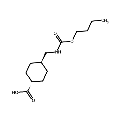 CCCCOC(=O)NC[C@H]1CC[C@H](C(=O)O)CC1